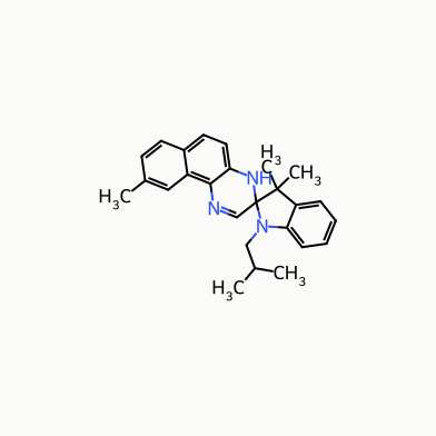 Cc1ccc2ccc3c(c2c1)N=CC1(N3)N(CC(C)C)c2ccccc2C1(C)C